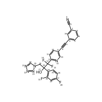 N#Cc1cccc(C#Cc2ccc(C(F)(F)C(O)(Cn3cnnn3)c3ccc(F)cc3F)nc2)c1